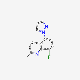 Cc1ccc2c(-n3cccn3)ccc(F)c2n1